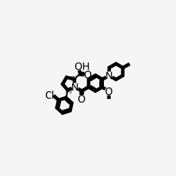 COc1cc(C(=O)N2[C@@H](c3ccccc3Cl)CC[C@H]2C(=O)O)ccc1N1CCC(C)CC1